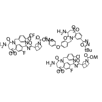 CC(C)(C)c1nnc(-c2ccc3c(c2)N(Cc2ccc(Oc4ccc(F)cc4)cc2)C(=O)[C@@H](N)CS3(=O)=O)o1.COC(=O)N1CC2CC(c3nc(-c4cc5c(cc4F)S(=O)(=O)C[C@H](N)C(=O)N5Cc4ccc(Cl)cc4)no3)(C2)C1.COC(=O)N1CC2CC(c3nc(-c4cc5c(cc4F)S(=O)(=O)C[C@H](N)C(=O)N5Cc4ccc(OC(F)(F)F)cc4)no3)(C2)C1